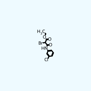 CCOC(=O)C(Br)C(=O)Nc1cccc(Cl)c1